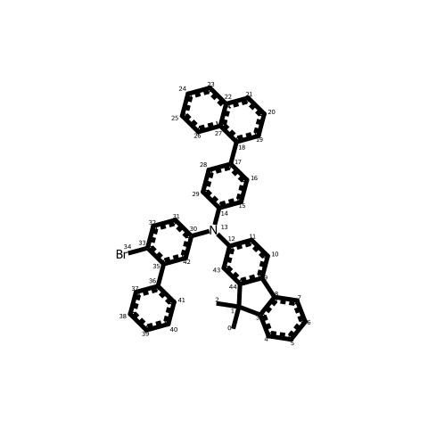 CC1(C)c2ccccc2-c2ccc(N(c3ccc(-c4cccc5ccccc45)cc3)c3ccc(Br)c(-c4ccccc4)c3)cc21